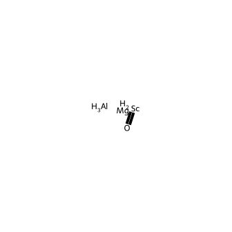 [AlH3].[MgH2].[O]=[Sc]